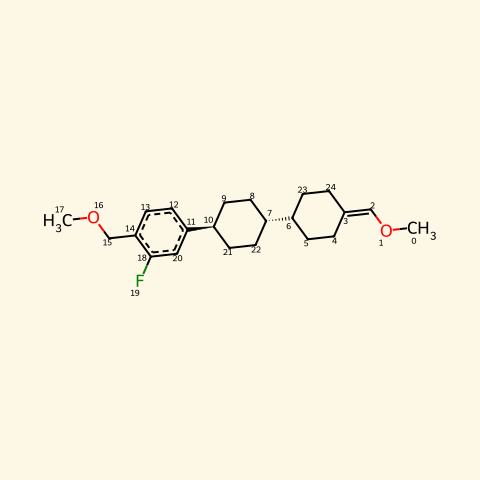 COC=C1CCC([C@H]2CC[C@H](c3ccc(COC)c(F)c3)CC2)CC1